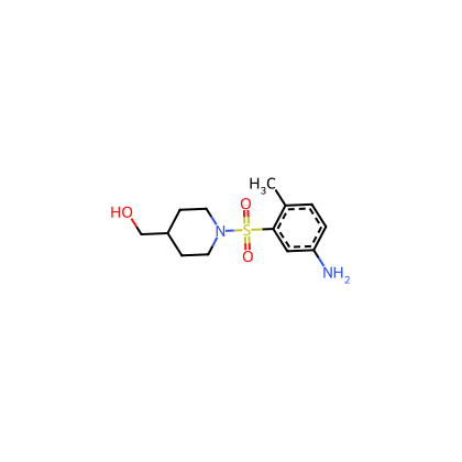 Cc1ccc(N)cc1S(=O)(=O)N1CCC(CO)CC1